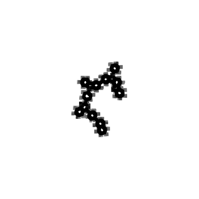 C1=C(c2nc(-c3ccc(-c4ccc5ccccc5c4)cc3)c3ccccc3n2)CCC(n2c3ccccc3c3cc(-c4ccc5c(c4)c4c6sc7ccccc7c6ccc4n5-c4ccccc4)ccc32)=C1